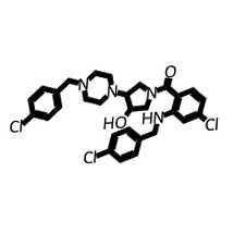 O=C(c1ccc(Cl)cc1NCc1ccc(Cl)cc1)N1CC(O)C(N2CCN(Cc3ccc(Cl)cc3)CC2)C1